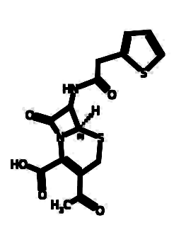 CC(=O)C1=C(C(=O)O)N2C(=O)C(NC(=O)Cc3cccs3)[C@H]2SC1